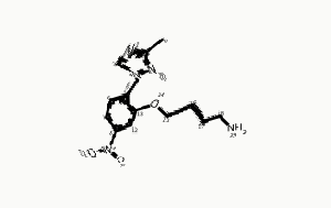 Cc1ncn(-c2ccc([N+](=O)[O-])cc2OCCCCN)n1